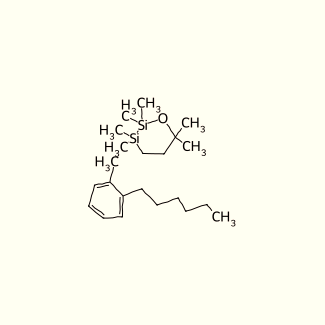 CC1(C)CC[Si](C)(C)[Si](C)(C)O1.CCCCCCc1ccccc1C